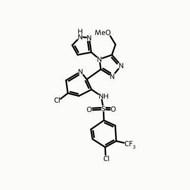 COCc1nnc(-c2ncc(Cl)cc2NS(=O)(=O)c2ccc(Cl)c(C(F)(F)F)c2)n1-c1cc[nH]n1